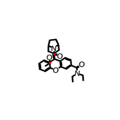 CCOC(=O)N1C2CCC1CC(=C1c3ccccc3Oc3cc(C(=O)N(CC)CC)ccc31)C2